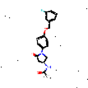 O=C1C[C@H](NC(=O)C(F)(F)F)CN1c1ccc(OCc2cccc(F)c2)cc1